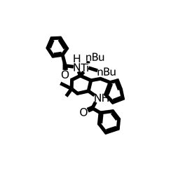 CCC[CH2][Ti]([CH2]CCC)[C]1(NC(=O)c2ccccc2)CC(C)(C)CC(NC(=O)c2ccccc2)C1Cc1ccccc1